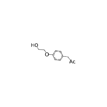 CC(=O)Cc1ccc(OCCO)cc1